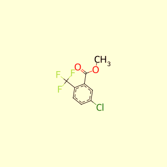 COC(=O)c1cc(Cl)ccc1C(F)(F)F